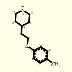 Cc1ccc(SCCC2CCNCC2)cc1